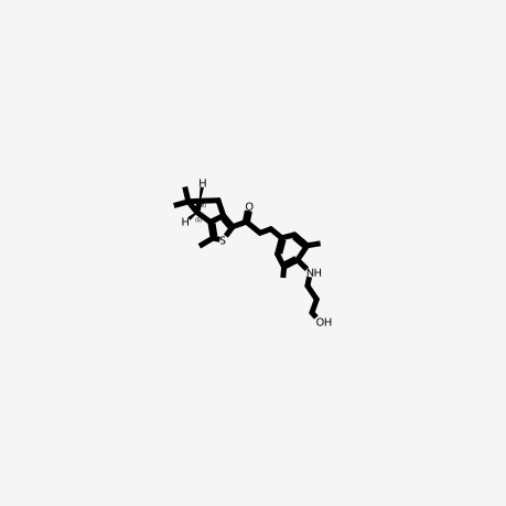 Cc1cc(CCC(=O)c2sc(C)c3c2C[C@@H]2[C@H]3C2(C)C)cc(C)c1NCCCO